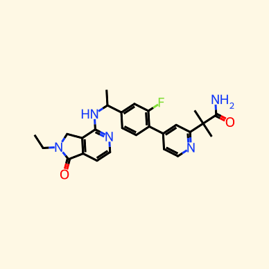 CCN1Cc2c(ccnc2NC(C)c2ccc(-c3ccnc(C(C)(C)C(N)=O)c3)c(F)c2)C1=O